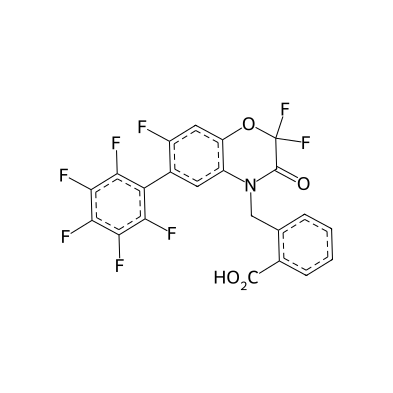 O=C(O)c1ccccc1CN1C(=O)C(F)(F)Oc2cc(F)c(-c3c(F)c(F)c(F)c(F)c3F)cc21